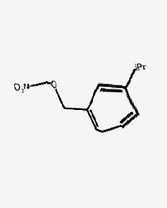 CC(C)c1cccc(CO[N+](=O)[O-])c1